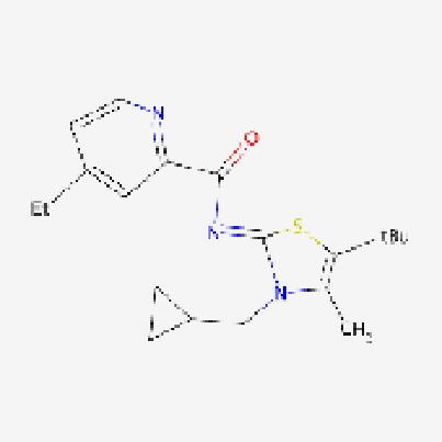 CCc1ccnc(C(=O)/N=c2\sc(C(C)(C)C)c(C)n2CC2CC2)c1